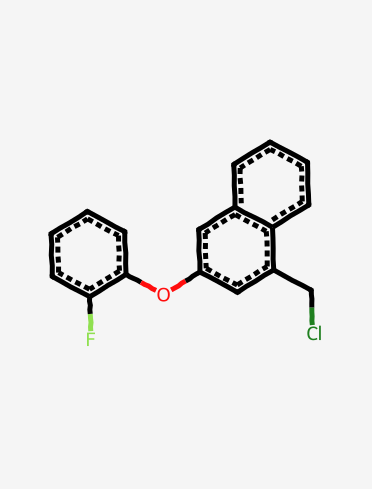 Fc1ccccc1Oc1cc(CCl)c2ccccc2c1